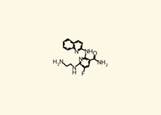 NCCNc1nc(Nc2ccc3ccccc3n2)c(C(N)=O)cc1F